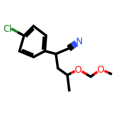 COCOC(C)CC(C#N)c1ccc(Cl)cc1